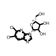 OC[C@H]1O[C@@H](n2cnc3cc(Cl)c(Cl)nc32)C(O)C1O